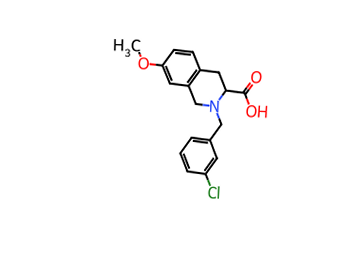 COc1ccc2c(c1)CN(Cc1cccc(Cl)c1)C(C(=O)O)C2